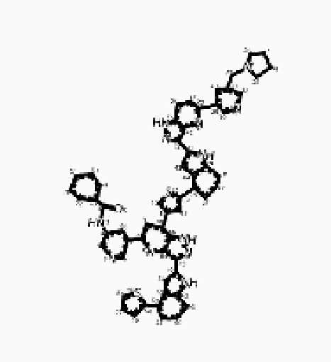 O=C(Nc1cncc(-c2cc(-c3csc(-c4cccc5[nH]c(-c6n[nH]c7ccc(-c8cncc(CN9CCCC9)c8)nc67)cc45)c3)c3[nH]nc(-c4cc5c(-c6cccs6)cccc5[nH]4)c3n2)c1)c1ccccc1